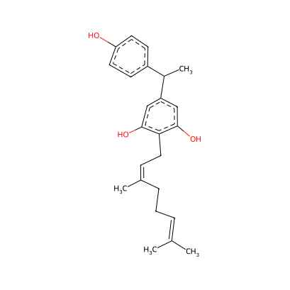 CC(C)=CCCC(C)=CCc1c(O)cc(C(C)c2ccc(O)cc2)cc1O